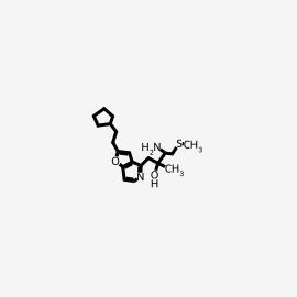 CSCC(N)C(C)(O)Cc1nccc2oc(CCC3CCCC3)cc12